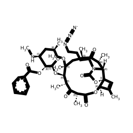 CN[C@H]1C[C@@H](C)O[C@@H](O[C@@H]2[C@@H](C)C(=O)[C@@H](C)C(=O)O[C@@H]3C(C)=C[C@@]34OC(=O)N(CCCCN=[N+]=[N-])[C@@H]4[C@@H](C)C(=O)[C@H](C)C[C@]2(C)OC)[C@@H]1OC(=O)c1ccccc1